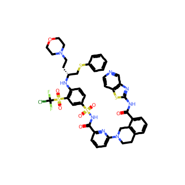 O=C(NS(=O)(=O)c1ccc(N[C@H](CCN2CCOCC2)CSc2ccccc2)c(S(=O)(=O)C(F)(F)Cl)c1)c1cccc(N2CCc3cccc(C(=O)Nc4nc5cnccc5s4)c3C2)n1